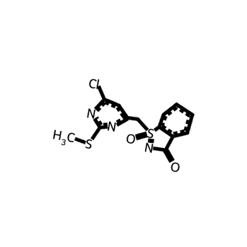 CSc1nc(Cl)cc(CS2(=O)=NC(=O)c3ccccc32)n1